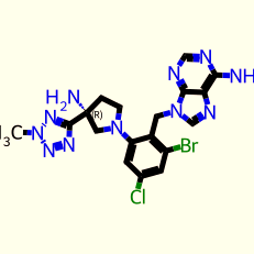 Cn1nnc([C@@]2(N)CCN(c3cc(Cl)cc(Br)c3Cn3cnc4c(N)ncnc43)C2)n1